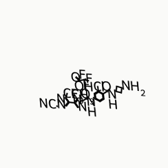 Cn1c(-c2cn(CC#N)nc2C(F)(F)F)cnc1C(=O)Nc1ccc(C(=O)NC2CC(N)C2)c(Cl)c1.O=C(O)C(F)(F)F